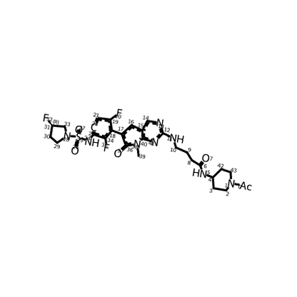 CC(=O)N1CCC(NC(=O)CCCNc2ncc3cc(-c4c(F)ccc(NS(=O)(=O)N5CC[C@@H](F)C5)c4F)c(=O)n(C)c3n2)CC1